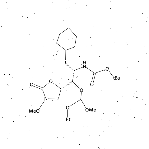 CCOC(OC)OC([C@H](CC1CCCCC1)NC(=O)OC(C)(C)C)[C@@H]1CN(OC)C(=O)O1